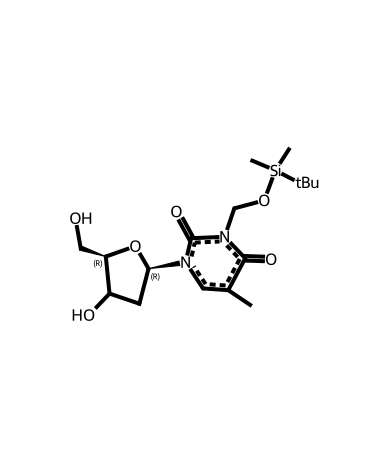 Cc1cn([C@H]2CC(O)[C@@H](CO)O2)c(=O)n(CO[Si](C)(C)C(C)(C)C)c1=O